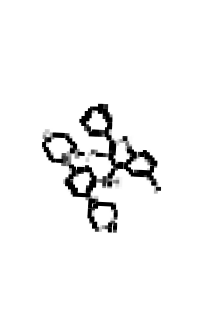 Cc1c(-c2cccnc2)nc2ccc(F)cc2c1Nc1cc(N2CCOCC2)ccc1N1CCOCC1